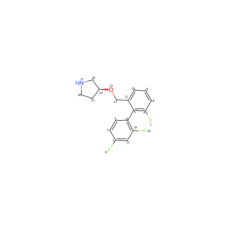 Fc1ccc(-c2c(F)cccc2CO[C@H]2CCNC2)c(F)c1